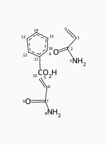 C=CC(N)=O.C=CC(N)=O.O=C(O)c1ccccc1